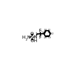 NS(=O)(=O)NCC(F)(F)c1ccccc1